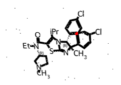 CCN(C(=O)C1=C(C(C)C)N2C(=N[C@@](C)(c3ccc(Cl)cc3)[C@H]2c2ccc(Cl)cc2)S1)[C@@H]1CCN(C)C1